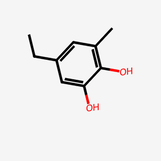 CCc1cc(C)c(O)c(O)c1